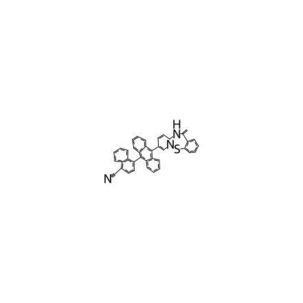 C=C1NC2C=CC(c3c4ccccc4c(-c4ccc(C#N)c5ccccc45)c4ccccc34)=CN2Sc2ccccc21